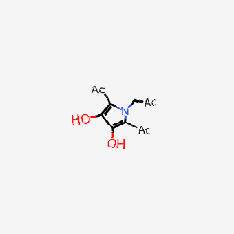 CC(=O)Cn1c(C(C)=O)c(O)c(O)c1C(C)=O